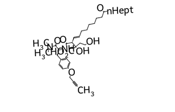 CC#CCOc1ccc(C[C@H](NC(=O)[C@@H](C=CCCCCCCC(=O)CCCCCCC)[C@@](O)(CCO)C(=O)O)C(=O)N(C)C)cc1